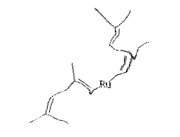 CC(C)=CC(C)=[CH][Ru][CH]=C(C)C=C(C)C